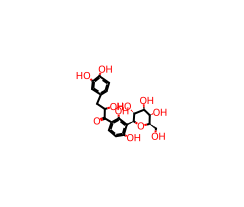 O=C(c1ccc(O)c([C@@H]2O[C@H](CO)[C@@H](O)[C@H](O)[C@H]2O)c1O)C(O)Cc1ccc(O)c(O)c1